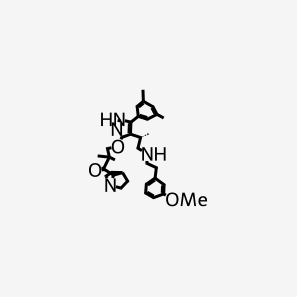 COc1cccc(CCNC[C@@H](C)c2c(OCC(C)(C)C(=O)C3C4CCN3CC4)n[nH]c2-c2cc(C)cc(C)c2)c1